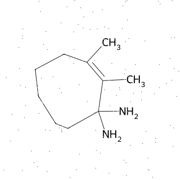 CC1=C(C)C(N)(N)CCCCC1